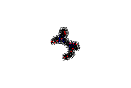 CC1(C)c2ccccc2-c2ccc(N(c3ccc(-c4ccc(N(c5ccc(C6C=C(c7ccccc7)C=CC6)cc5)c5cccc6ccccc56)cc4)cc3)c3ccc4c(c3)C(C)(C)c3ccccc3-4)cc21